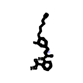 C#CCCCCCc1ccc(/C=C/C(=O)Nc2ccccc2C(=O)O)cc1C